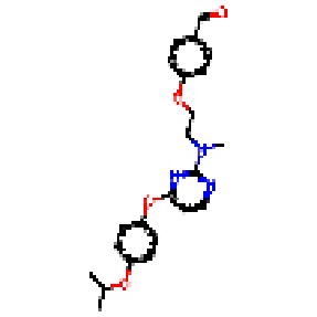 CC(C)Oc1ccc(Oc2ccnc(N(C)CCOc3ccc(C=O)cc3)n2)cc1